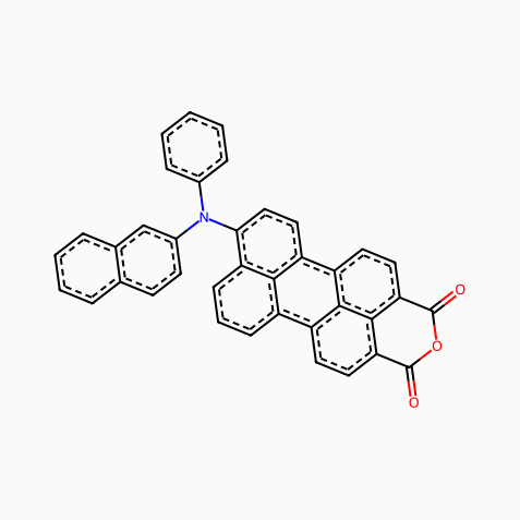 O=C1OC(=O)c2ccc3c4ccc(N(c5ccccc5)c5ccc6ccccc6c5)c5cccc(c6ccc1c2c63)c54